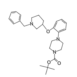 CC(C)(C)OC(=O)N1CCN(c2ccccc2OC2CCCN(Cc3ccccc3)C2)CC1